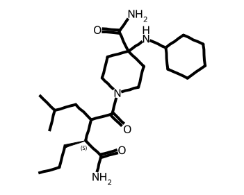 CCC[C@H](C(N)=O)C(CC(C)C)C(=O)N1CCC(NC2CCCCC2)(C(N)=O)CC1